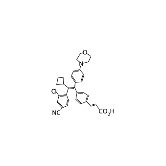 N#Cc1ccc(/C(=C(\c2ccc(/C=C/C(=O)O)cc2)c2ccc(N3CCOCC3)cc2)C2CCC2)c(Cl)c1